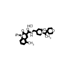 Cc1cccc2c1cc(C(=O)NCC1CCN(C(C)C3(O)CCOCC3)CC1)c(=O)n2C(C)C.Cl